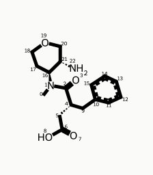 CN(C(=O)[C@@H](CC(=O)O)Cc1ccccc1)[C@H]1CCOC[C@@H]1N